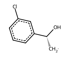 [CH2][C@@H](O)c1cccc(Cl)c1